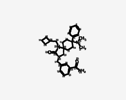 CN(C)[C@]1(c2ccccc2)CC[C@@]2(CC1)CN(Cc1cccc(C(N)=O)c1)C(=O)N2CC1CCC1